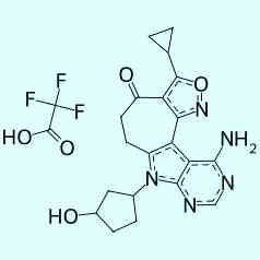 Nc1ncnc2c1c1c(n2C2CCC(O)C2)CCC(=O)c2c-1noc2C1CC1.O=C(O)C(F)(F)F